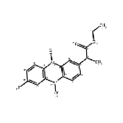 CCOC(=O)C(C)c1ccc2c(c1)[S+]([O-])c1ccc(F)cc1[S+]2[O-]